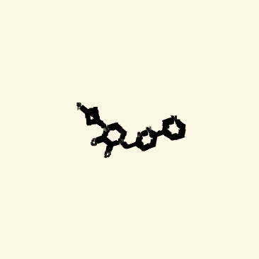 O=C1C(=O)N(C23CC(F)(C2)C3)CCN1Cc1ccc(-c2cccnc2)nn1